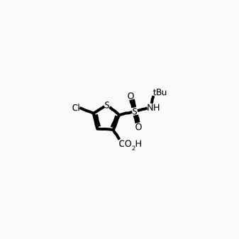 CC(C)(C)NS(=O)(=O)c1sc(Cl)cc1C(=O)O